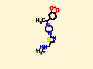 CNCc1cnc(N2CCN(C(C)c3ccc4c(c3)OCO4)CC2)s1